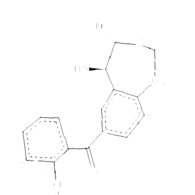 O=C(c1ccc2c(c1)[C@@H](O)[C@H](Br)CCO2)c1ccccc1C(F)(F)F